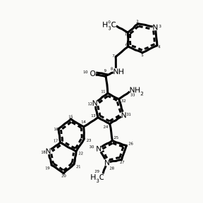 Cc1cnccc1CNC(=O)c1nc(-c2ccc3ncccc3c2)c(-c2ccn(C)n2)nc1N